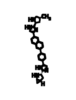 C[C@H]1CN[C@H](c2nc(-c3ccc4cc(-c5ccc(-c6cnc([C@@H]7C[C@H]8CC8N7)[nH]6)cc5)ccc4c3)c[nH]2)C1